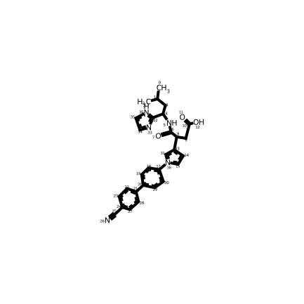 CC(C)CC(NC(=O)C(CC(=O)O)c1ccn(-c2ccc(-c3ccc(C#N)cc3)cc2)c1)c1ncc[nH]1